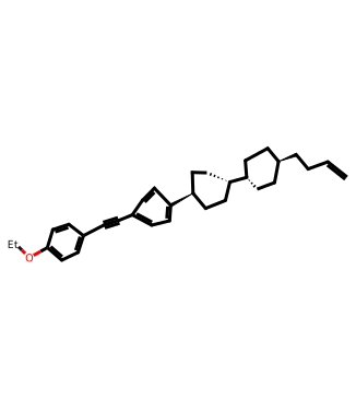 C=CCC[C@H]1CC[C@H]([C@H]2CC[C@H](c3ccc(C#Cc4ccc(OCC)cc4)cc3)CC2)CC1